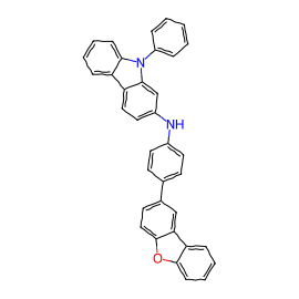 c1ccc(-n2c3ccccc3c3ccc(Nc4ccc(-c5ccc6oc7ccccc7c6c5)cc4)cc32)cc1